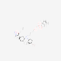 Cc1ccc(-c2c(C)noc2C)cc1N(CCCCCOCC(=O)OC(C)(C)C)c1ccc(Br)cc1